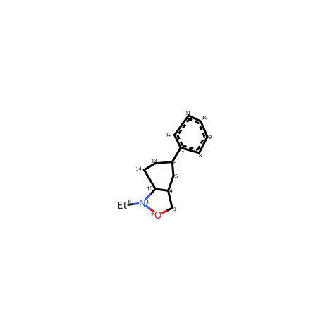 CCN1OCC2CC(c3ccccc3)CCC21